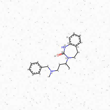 CC(CCN(C)Cc1ccccc1)N1CCc2ccccc2NC1=O